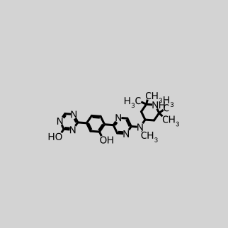 CN(c1cnc(-c2ccc(-c3ncnc(O)n3)cc2O)cn1)C1CC(C)(C)NC(C)(C)C1